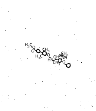 CCOC(=O)c1ccc(-c2c(C)cc(OCCN[C@@H](C)[C@H](O)c3ccc(OCc4ccccc4)c(NS(C)(=O)=O)c3)cc2C)cc1